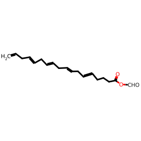 C=CC/C=C/C/C=C/C/C=C/C/C=C/CCCC(=O)OC=O